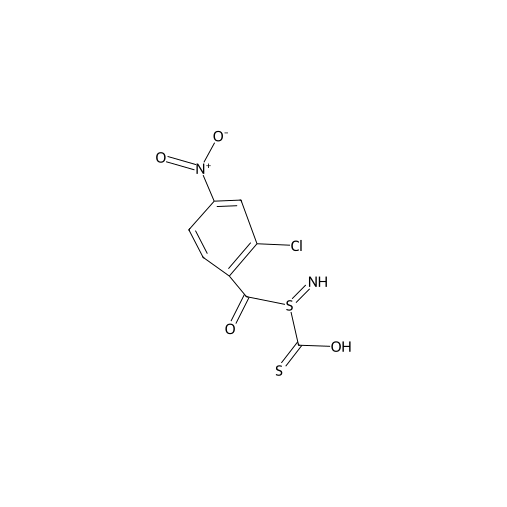 N=S(C(=O)c1ccc([N+](=O)[O-])cc1Cl)C(O)=S